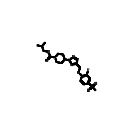 CC(C)COC(=O)N1CCC(n2ncc(COc3ccc(S(C)(=O)=O)cc3F)n2)CC1